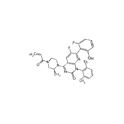 C=CC(=O)N1CCN(c2nc(=O)n(-c3c(C)cccc3CC)c3nc(-c4c(O)cccc4F)c(F)cc23)[C@@H](C)C1